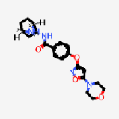 O=C(N[C@@H]1C[C@H]2CC[C@@H]1N2)c1ccc(Oc2cc(N3CCOCC3)on2)cc1